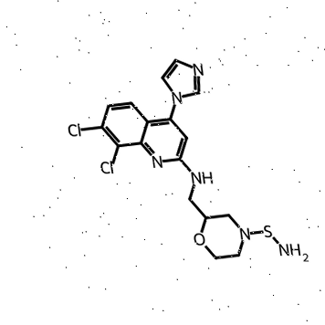 NSN1CCOC(CNc2cc(-n3ccnc3)c3ccc(Cl)c(Cl)c3n2)C1